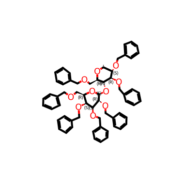 [CH]1O[C@H](COCc2ccccc2)[C@@H](O[C@@H]2O[C@H](COCc3ccccc3)[C@H](OCc3ccccc3)[C@H](OCc3ccccc3)[C@H]2OCc2ccccc2)[C@H](OCc2ccccc2)[C@H]1OCc1ccccc1